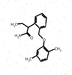 CCC(C(N)=O)c1ccccc1COc1cc(C)ccc1C